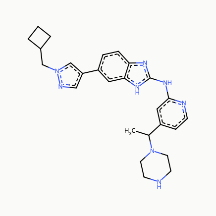 CC(c1ccnc(Nc2nc3ccc(-c4cnn(CC5CCC5)c4)cc3[nH]2)c1)N1CCNCC1